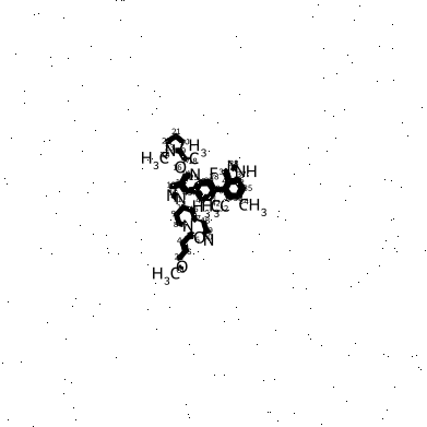 COC/C=C/C(=O)N1CC[C@H](n2ncc3c(O[C@@H](C)[C@@H]4CCCN4C)nc4c(F)c(-c5c(C)c(C)cc6[nH]ncc56)c(C)cc4c32)C[C@H]1CC#N